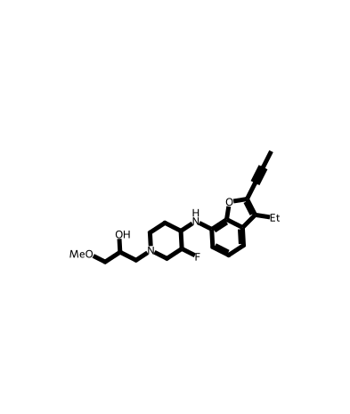 CC#Cc1oc2c(NC3CCN(CC(O)COC)CC3F)cccc2c1CC